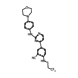 N#Cc1cc(-c2ccnc(Nc3ccc(N4CCOCC4)cc3)n2)ccc1NSCC(F)(F)F